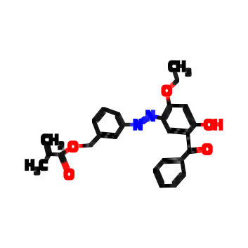 C=C(C)C(=O)OCc1cccc(/N=N/c2cc(C(=O)c3ccccc3)c(O)cc2OCC)c1